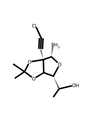 B[C@@H]1O[C@H](C(C)O)C2OC(C)(C)O[C@]21C#CCl